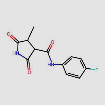 CC1C(=O)NC(=O)C1C(=O)Nc1ccc(F)cc1